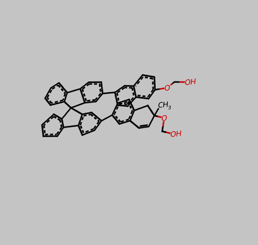 CC1(OCO)C=Cc2cc(-c3ccc4c(c3)C3(c5ccccc5-4)c4ccccc4-c4ccc(-c5ccc6cc(OCO)ccc6c5)cc43)ccc2C1